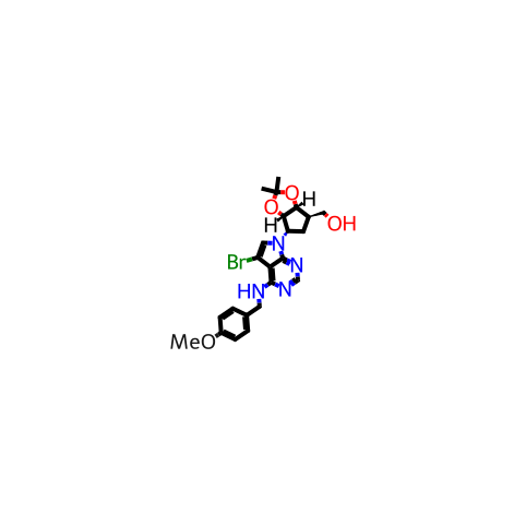 COc1ccc(CNc2ncnc3c2c(Br)cn3[C@@H]2C[C@H](CO)[C@H]3OC(C)(C)O[C@H]32)cc1